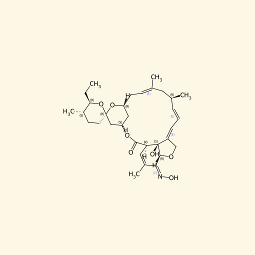 CC[C@H]1O[C@]2(CC[C@@H]1C)C[C@@H]1C[C@@H](C/C=C(\C)C[C@@H](C)/C=C/C=C3\CO[C@@H]4/C(=N\O)C(C)=C[C@@H](C(=O)O1)[C@]34O)O2